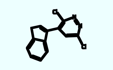 Clc1cc(C2=CCc3ccccc32)c(Cl)nn1